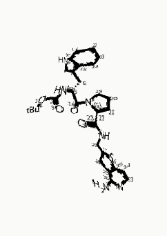 CC(C)(C)OC(=O)N[C@H](Cc1c[nH]c2ccccc12)C(=O)N1CCC[C@H]1C(=O)NCc1cc2c(N)nccc2s1